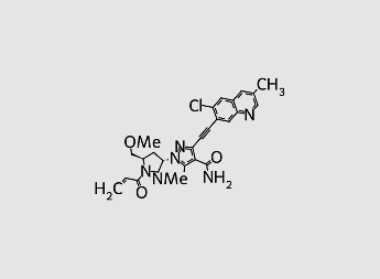 C=CC(=O)N1C[C@@H](n2nc(C#Cc3cc4ncc(C)cc4cc3Cl)c(C(N)=O)c2NC)C[C@@H]1COC